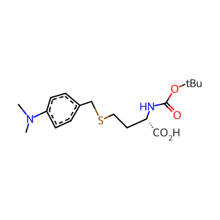 CN(C)c1ccc(CSCC[C@H](NC(=O)OC(C)(C)C)C(=O)O)cc1